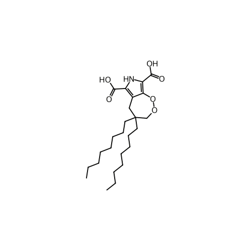 CCCCCCCCC1(CCCCCCCC)COOc2c(C(=O)O)[nH]c(C(=O)O)c2C1